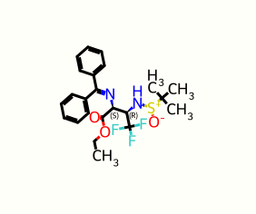 CCOC(=O)[C@@H](N=C(c1ccccc1)c1ccccc1)[C@@H](N[S+]([O-])C(C)(C)C)C(F)(F)F